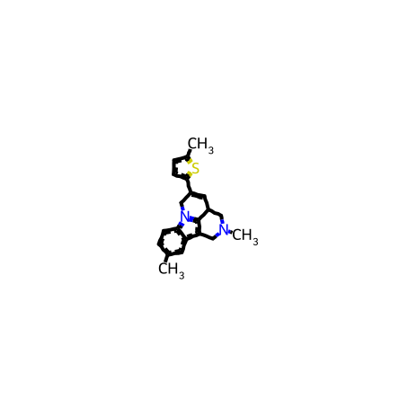 Cc1ccc2c(c1)c1c3n2CC(c2ccc(C)s2)=CC3CN(C)C1